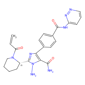 C=CC(=O)N1CCCC[C@H]1c1nc(-c2ccc(C(=O)Nc3cccnn3)cc2)c(C(N)=O)n1N